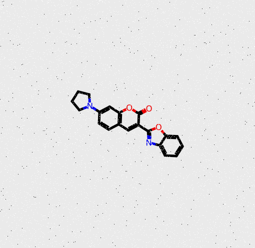 O=c1oc2cc(N3CCCC3)ccc2cc1-c1nc2ccccc2o1